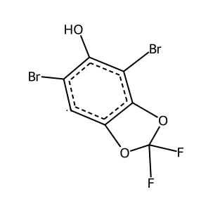 Oc1c(Br)[c]c2c(c1Br)OC(F)(F)O2